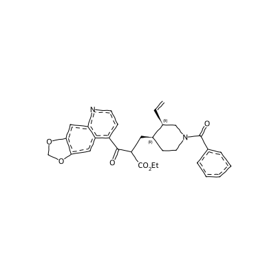 C=C[C@H]1CN(C(=O)c2ccccc2)CC[C@H]1CC(C(=O)OCC)C(=O)c1ccnc2cc3c(cc12)OCO3